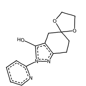 Oc1c2c(nn1-c1ccccn1)CCC1(C2)OCCO1